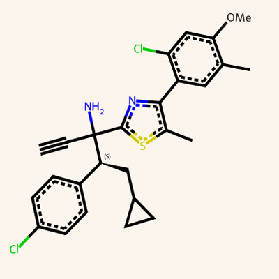 C#CC(N)(c1nc(-c2cc(C)c(OC)cc2Cl)c(C)s1)[C@@H](CC1CC1)c1ccc(Cl)cc1